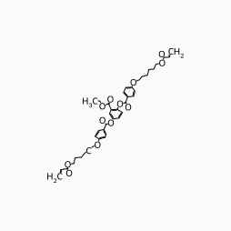 C=CC(=O)OCCCCCCOc1ccc(C(=O)Oc2ccc(OC(=O)c3ccc(OCCCCCCOC(=O)C=C)cc3)c(C(=O)OCC)c2)cc1